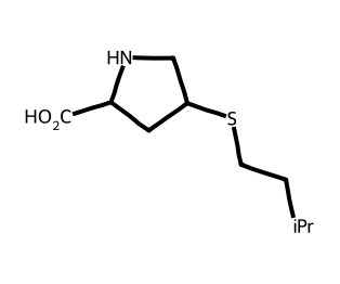 CC(C)CCSC1CNC(C(=O)O)C1